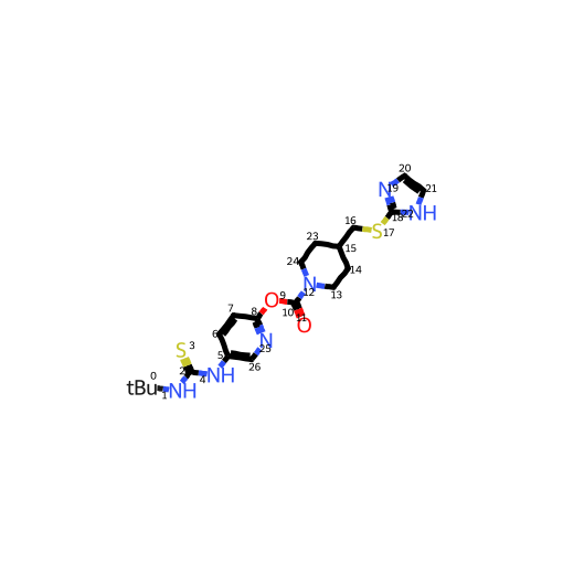 CC(C)(C)NC(=S)Nc1ccc(OC(=O)N2CCC(CSc3ncc[nH]3)CC2)nc1